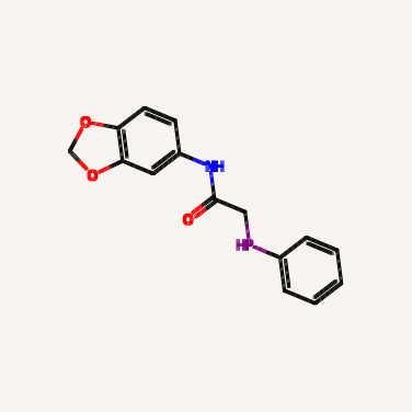 O=C(CPc1ccccc1)Nc1ccc2c(c1)OCO2